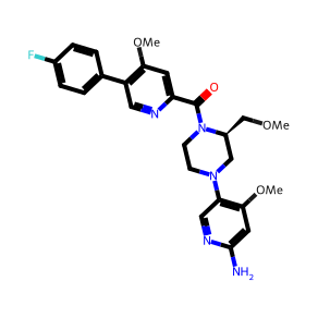 COC[C@H]1CN(c2cnc(N)cc2OC)CCN1C(=O)c1cc(OC)c(-c2ccc(F)cc2)cn1